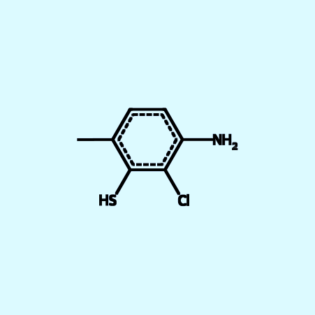 Cc1ccc(N)c(Cl)c1S